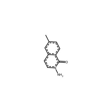 Cc1ccc2c(=O)n(N)ccc2c1